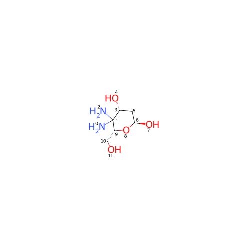 NC1(N)[C@H](O)C[C@@H](O)O[C@@H]1CO